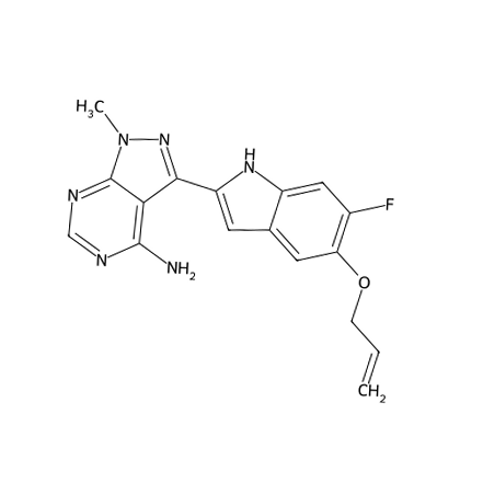 C=CCOc1cc2cc(-c3nn(C)c4ncnc(N)c34)[nH]c2cc1F